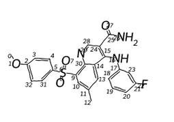 COc1ccc(S(=O)(=O)c2cc(C)cc3c(Nc4cccc(F)c4)c(C(N)=O)cnc23)cc1